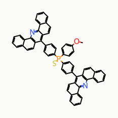 COc1ccc(P(=S)(c2ccc(-c3c4ccc5ccccc5c4nc4c3ccc3ccccc34)cc2)c2ccc(-c3c4ccc5ccccc5c4nc4c3ccc3ccccc34)cc2)cc1